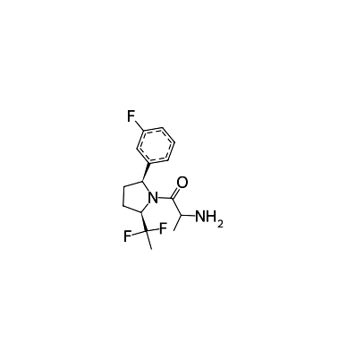 CC(N)C(=O)N1[C@H](c2cccc(F)c2)CC[C@@H]1C(C)(F)F